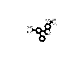 CC(C=O)c1ccc(C2=C3CC=C(C(O)(C(F)(F)F)C(F)(F)F)C=C3SNC2)c(-c2ccccc2)c1